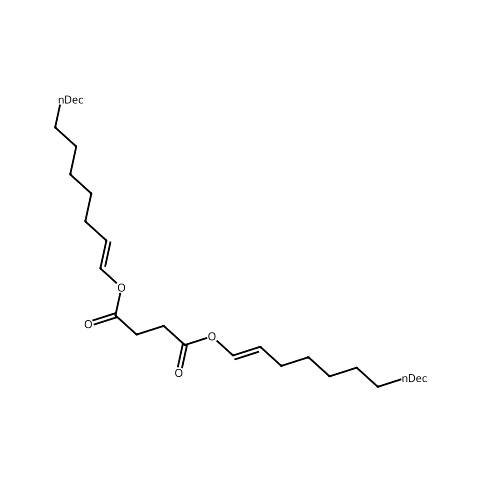 CCCCCCCCCCCCCCCC=COC(=O)CCC(=O)OC=CCCCCCCCCCCCCCCC